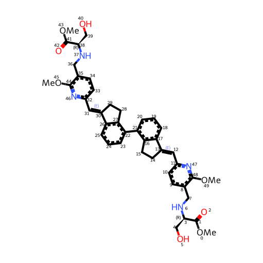 COC(=O)[C@@H](CO)NCc1ccc(/C=C2\CCc3c2cccc3-c2cccc3c2CC/C3=C\c2ccc(CN[C@H](CO)C(=O)OC)c(OC)n2)nc1OC